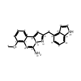 COc1cccc2c1nc(N)n1nc(Cc3cccc4[nH]ccc34)cc21